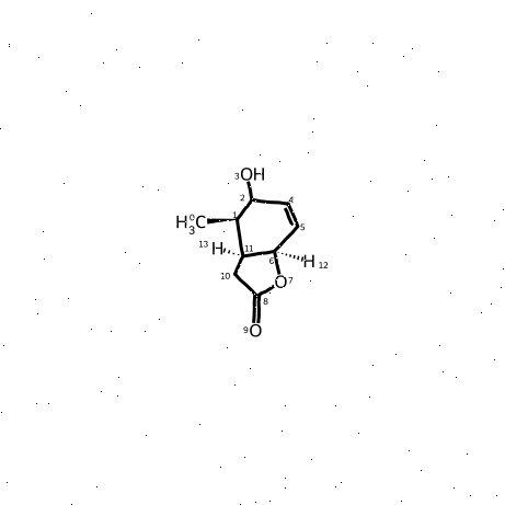 C[C@H]1C(O)C=C[C@H]2OC(=O)C[C@H]21